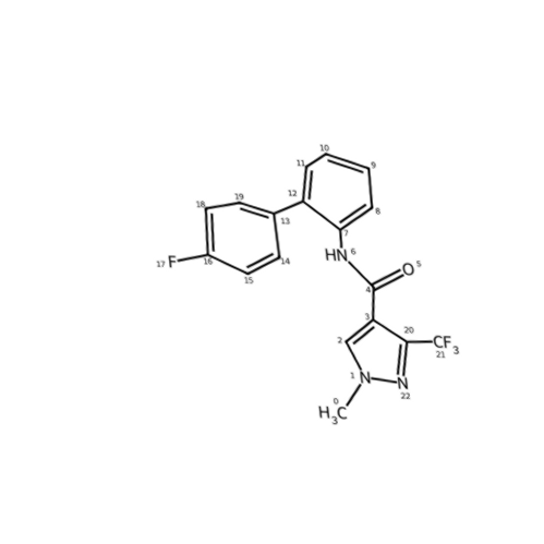 Cn1cc(C(=O)Nc2ccccc2-c2ccc(F)cc2)c(C(F)(F)F)n1